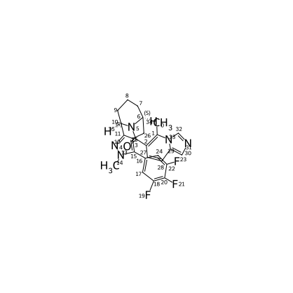 Cc1c(C(=O)N2[C@H]3CCC[C@@H]2c2nn(C)c(-c4cc(F)c(F)c(F)c4)c2C3)ccc2cncn12